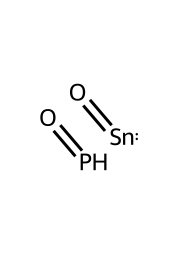 O=P.[O]=[Sn]